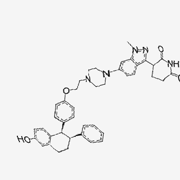 Cn1nc(C2CCC(=O)NC2=O)c2ccc(N3CCN(CCOc4ccc([C@@H]5c6ccc(O)cc6CC[C@@H]5c5ccccc5)cc4)CC3)cc21